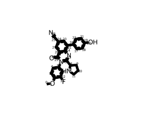 COc1ccc(-n2c(C3CCCN3)nc3c(-c4ccc(O)cc4)cc(C#N)cc3c2=O)cc1F